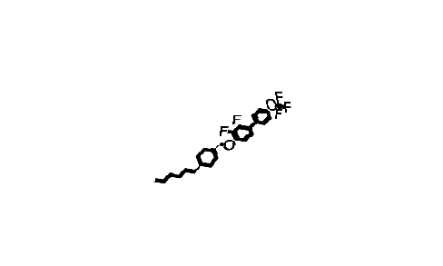 CCCCCC[C@H]1CC[C@H](COc2ccc(-c3ccc(OC(F)(F)F)cc3)c(F)c2F)CC1